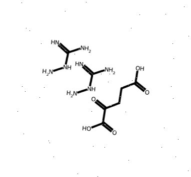 N=C(N)NN.N=C(N)NN.O=C(O)CCC(=O)C(=O)O